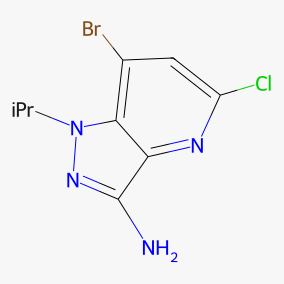 CC(C)n1nc(N)c2nc(Cl)cc(Br)c21